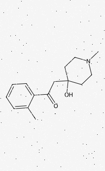 Cc1ccccc1C(=O)CC1(O)CCN(C)CC1